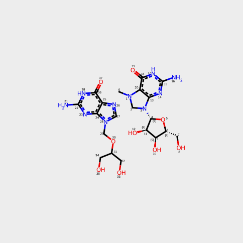 CN1CN([C@@H]2O[C@H](CO)[C@@H](O)[C@H]2O)c2nc(N)[nH]c(=O)c21.Nc1nc2c(ncn2COC(CO)CO)c(=O)[nH]1